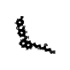 Cc1ccc(Oc2ccc(Nc3ncnc4ccc(C=CCNC(=O)CCO)cc34)cc2C)cn1